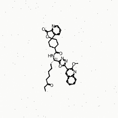 CCC(=O)CCCCC[C@H](NC(=O)C1CCC2(CC1)OC(=O)c1ncccc12)c1nnc(-c2cc3ccccc3nc2OC)o1